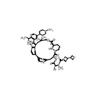 CCn1c(-c2cc(C3CCN(C)CC3)cnc2[C@H](C)OC)c2c3cc(ccc31)-c1csc(n1)C[C@H](NC(=O)[C@H](C(C)C)N(C)C(=O)N1CC(C3COC3)C1)C(=O)N1CCC[C@H](N1)C(=O)OCC(C)(C)C2